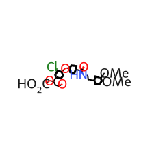 COc1ccc(CCNC(=O)c2ccc(Oc3cc4c(cc3Cl)C(OC(=O)O)CCO4)cc2)cc1OC